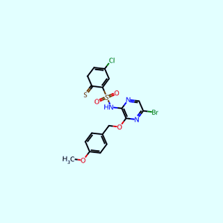 COc1ccc(COc2nc(Br)cnc2NS(=O)(=O)C2=CC(Cl)=CCC2=S)cc1